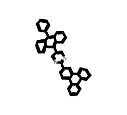 c1ccc(-c2c3ccccc3c(-c3cnc(-c4ccc5c6ccccc6c6ccccc6c5c4)nc3)c3ccccc23)cc1